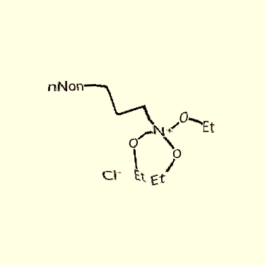 CCCCCCCCCCCC[N+](OCC)(OCC)OCC.[Cl-]